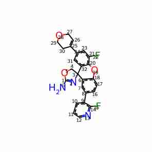 NC1=NC2(CO1)c1cc(-c3cccnc3F)ccc1Oc1c(F)cc(C3=CCOCC3)cc12